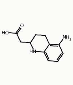 Nc1cccc2c1CCC(CC(=O)O)N2